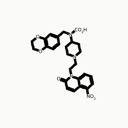 O=C(O)N(Cc1ccc2c(c1)OCCO2)C1CCN(CCn2c(=O)ccc3c([N+](=O)[O-])cccc32)CC1